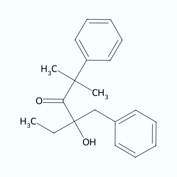 CCC(O)(Cc1ccccc1)C(=O)C(C)(C)c1ccccc1